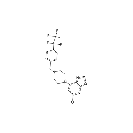 [O]c1cc(N2CCN(Cc3ccc(C(F)(F)C(F)(F)F)cc3)CC2)c2ncsc2c1